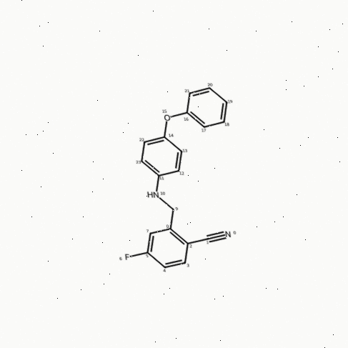 N#Cc1ccc(F)cc1CNc1ccc(Oc2ccccc2)cc1